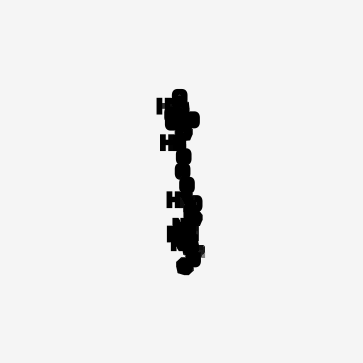 Nc1ncnc2c1c(-c1ccc(Oc3ccccc3)cc1)nn2[C@@H]1CCCN(CC(=O)NCCOCCOCCOCCNc2ccc3c(c2)C(=O)N(C2CCC(=O)NC2=O)C3=O)C1